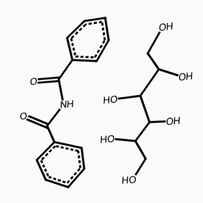 O=C(NC(=O)c1ccccc1)c1ccccc1.OCC(O)C(O)C(O)C(O)CO